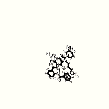 C/C=C/Cn1c(N2CCCC(N)C2)nc2c1c(=O)n(CC(=O)c1ccccc1NC(=O)C13CCC(CC1)CC3)c(=O)n2C